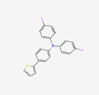 Ic1ccc(N(c2ccc(I)cc2)c2ccc(-c3cccs3)cc2)cc1